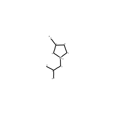 CC(C)CN1CCC(I)C1